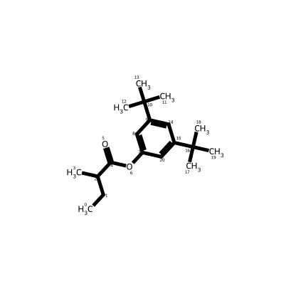 CCC(C)C(=O)Oc1cc(C(C)(C)C)cc(C(C)(C)C)c1